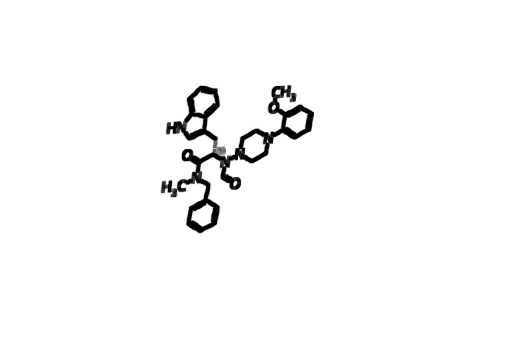 COc1ccccc1N1CCN(N(C=O)[C@@H](Cc2c[nH]c3ccccc23)C(=O)N(C)Cc2ccccc2)CC1